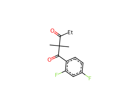 CCC(=O)C(C)(C)C(=O)c1ccc(F)cc1F